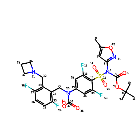 Cc1cc(N(C(=O)OC(C)(C)C)S(=O)(=O)c2c(F)cc(N(Cc3c(F)ccc(F)c3CN3CCC3)C(=O)O)cc2F)no1